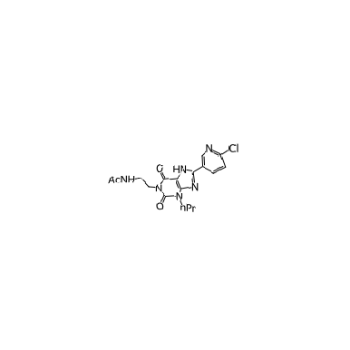 CCCn1c(=O)n(CCNC(C)=O)c(=O)c2[nH]c(-c3ccc(Cl)nc3)nc21